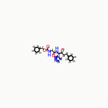 O=C(CNC(=O)OCc1ccccc1)NC(C(=O)CCc1ccccc1)n1ncnn1